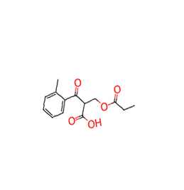 CCC(=O)OCC(C(=O)O)C(=O)c1ccccc1C